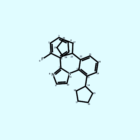 Fc1ccccc1-c1nccn1-c1c(C2CCCC2)cccc1C1CCCC1